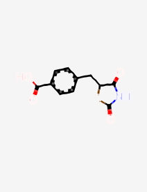 O=C1NC(=O)C(Cc2ccc(C(=O)O)cc2)S1